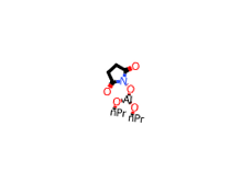 CCC[O][Al]([O]CCC)[O]N1C(=O)CCC1=O